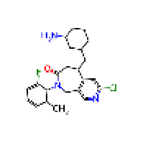 CC1C=CC=C(F)C1N1Cc2cnc(Cl)cc2C(CC2CCCC(N)C2)CC1=O